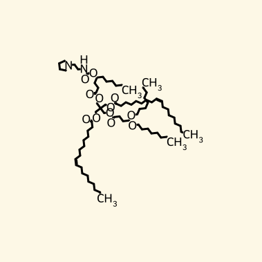 CCCCCCCC/C=C\CCCCCCCC(=O)OCC(COC(=O)CCCCCCC/C=C\CCCCCCCC)(COC(=O)CCC(CCCCCC)OC(=O)NCCN1CCCC1)COC(=O)CCC(OCCCCCCCC)OCCCCCCCC